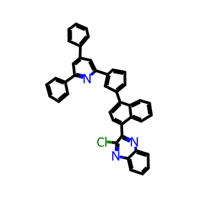 Clc1nc2ccccc2nc1-c1ccc(-c2cccc(-c3cc(-c4ccccc4)cc(-c4ccccc4)n3)c2)c2ccccc12